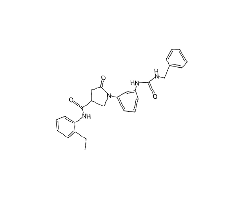 CCc1ccccc1NC(=O)C1CC(=O)N(c2cccc(NC(=O)NCc3ccccc3)c2)C1